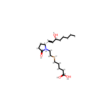 CCCCC[C@H](O)C=C[C@H]1CCC(=O)N1CCSCCCCC(=O)O